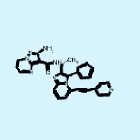 C[C@@H](NC(=O)c1c(N)nn2cccnc12)c1nc2cccc(C#Cc3ccncc3)n2c1-c1ccccc1